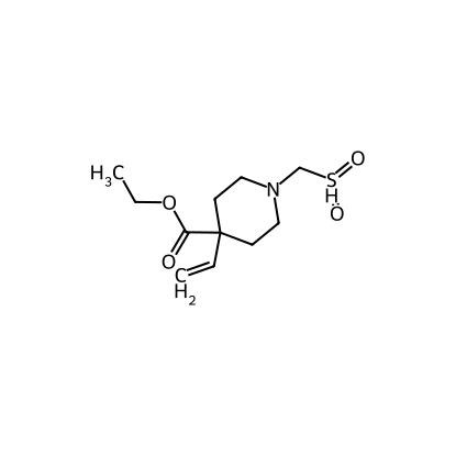 C=CC1(C(=O)OCC)CCN(C[SH](=O)=O)CC1